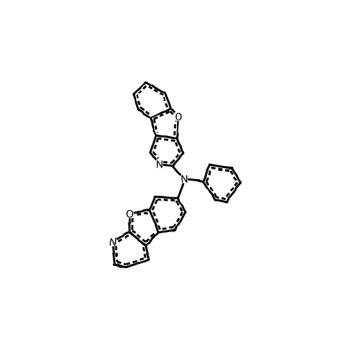 c1ccc(N(c2ccc3c(c2)oc2ncccc23)c2cc3oc4ccccc4c3cn2)cc1